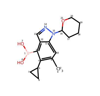 OB(O)c1c(C2CC2)c(C(F)(F)F)cc2c1cnn2C1CCCCO1